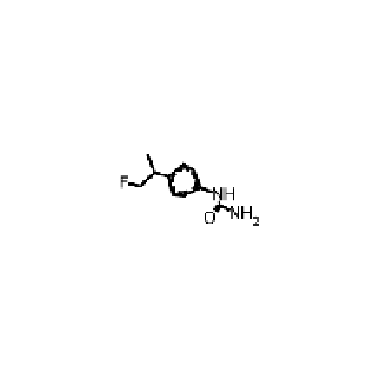 CC(CF)c1ccc(NC(N)=O)cc1